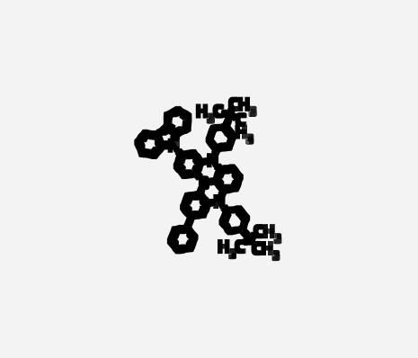 CC(C)(C)C1=CC=C(N2c3cc(-n4c5ccccc5c5ccccc54)ccc3B3c4ccc(-c5ccccc5)cc4N(C4=CCC(C(C)(C)C)C=C4)c4cccc2c43)CC1